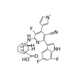 Cn1ccc(-c2c(F)c(N[C@H]3C4CCC(CC4)[C@@H]3C(=O)O)nc(-c3c[nH]c4c(F)cc(F)cc34)c2C#N)c1